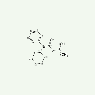 C=C(O)CC(=O)N(c1ccccc1)C1CCCCC1